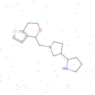 c1cc2c(s1)CCOC2CN1CCC(C2CCCN2)C1